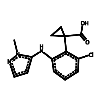 Cn1nccc1Nc1cccc(Cl)c1C1(C(=O)O)CC1